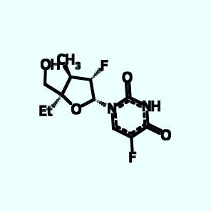 CC[C@@]1(CO)O[C@@H](n2cc(F)c(=O)[nH]c2=O)[C@@H](F)[C@@H]1C